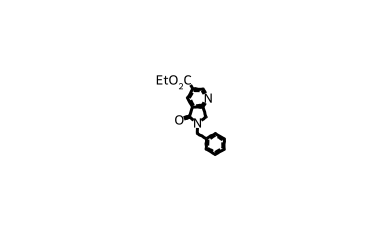 CCOC(=O)c1cnc2c(c1)C(=O)N(Cc1ccccc1)C2